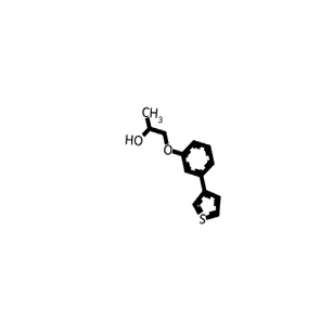 CC(O)COc1cccc(-c2ccsc2)c1